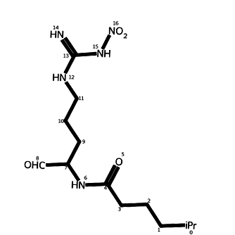 CC(C)CCCC(=O)NC(C=O)CCCNC(=N)N[N+](=O)[O-]